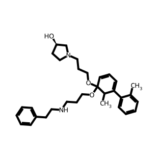 Cc1ccccc1C1=CC=CC(OCCCNCCc2ccccc2)(OCCCN2CC[C@@H](O)C2)C1C